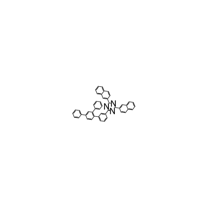 c1ccc(-c2ccc(-c3cccc(-c4nc(-c5ccc6ccccc6c5)nc(-c5ccc6ccccc6c5)n4)c3)c(-c3ccccc3)c2)cc1